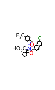 CC1([C@H](NC(=O)c2ccc3ccc(Cl)cc3c2OCc2ccc(C(F)(F)F)cc2)C(=O)O)CCCC1